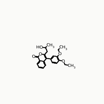 CCOc1ccc(-c2c(CC(C)O)oc(=O)c3ccccc23)cc1OCC